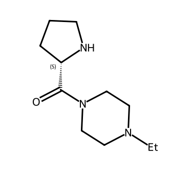 CCN1CCN(C(=O)[C@@H]2CCCN2)CC1